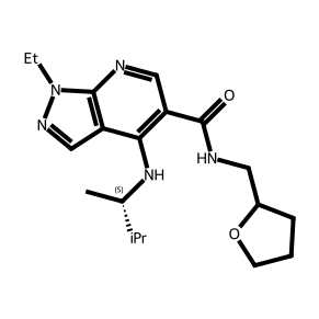 CCn1ncc2c(N[C@@H](C)C(C)C)c(C(=O)NCC3CCCO3)cnc21